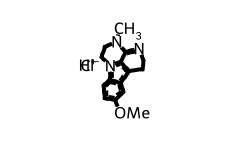 COc1ccc2c(c1)c1c3n2CCN(C)C3=NCC1.[Cl-].[H+]